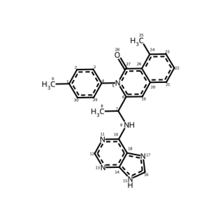 Cc1ccc(-n2c(C(C)Nc3ncnc4[nH]cnc34)cc3cccc(C)c3c2=O)cc1